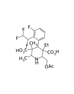 CCC1(C(=O)O)C(COC(C)=O)NC(C)C(C)(C(=O)O)C1c1cccc(F)c1C(F)C(F)F